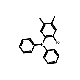 Cc1cc(Br)c(P(c2ccccc2)c2ccccc2)cc1C